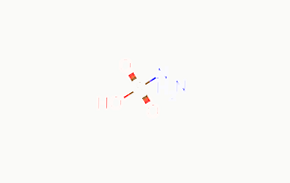 NS(=O)(=O)O.[N]